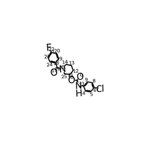 O=C(Nc1ccc(Cl)cc1)O[C@H]1CCCN(C(=O)c2ccc(F)cc2)C1